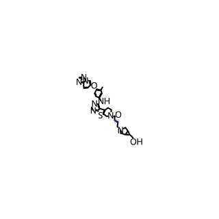 Cc1cc(Nc2ncnc3sc4c(c23)CCN(C(=O)/C=C/CN2CC3C(CO)C3C2)C4)ccc1Oc1ccc2ncnn2c1